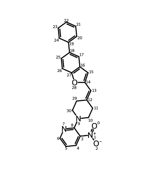 O=[N+]([O-])c1cccnc1N1CCC(=Cc2cc3cc(-c4ccccc4)ccc3o2)CC1